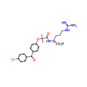 CC(C)(Oc1ccc(C(=O)c2ccc(Cl)cc2)cc1)C(=O)N[C@@H](CCCNC(=N)N)C(=O)O